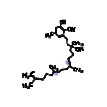 CC(C)=CCC/C(C)=C/CC/C(C)=C/CCC(C)(O)CCc1cc(C)cc(O)c1O